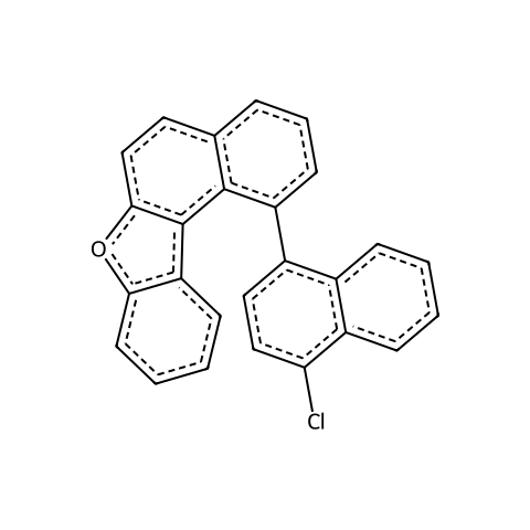 Clc1ccc(-c2cccc3ccc4oc5ccccc5c4c23)c2ccccc12